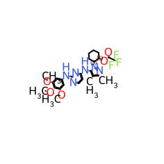 COc1cc(Nc2nccc(Nc3c(C)c(C)nn3[C@H]3CCCC[C@@H]3OC(=O)C(F)(F)F)n2)cc(OC)c1OC